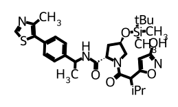 Cc1ncsc1-c1ccc(C(C)NC(=O)[C@@H]2C[C@@H](O[Si](C)(C)C(C)(C)C)CN2C(=O)C(c2cc(O)no2)C(C)C)cc1